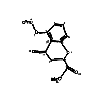 CCCCCOc1cccc2oc(C(=O)OC)cc(=O)c12